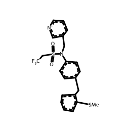 CSc1ccccc1Cc1ccc(N(Cc2cccnc2)S(=O)(=O)CC(F)(F)F)cc1